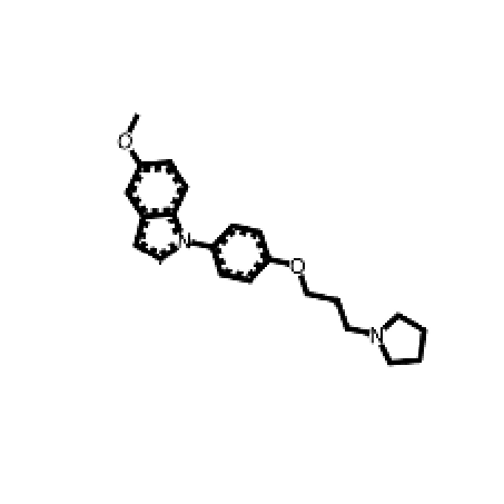 COc1ccc2c(c[c]n2-c2ccc(OCCCN3CCCC3)cc2)c1